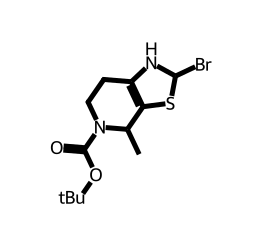 CC1C2=C(CCN1C(=O)OC(C)(C)C)NC(Br)S2